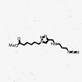 COC(=O)CCCCCn1cc(CNCCCN=[N+]=[N-])nn1